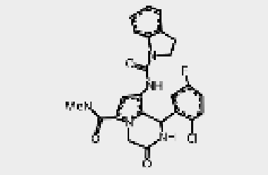 CNC(=O)c1cc(NC(=O)N2CCc3ccccc32)c2n1CC(=O)NC2c1cc(F)ccc1Cl